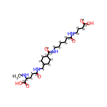 CNC(CCC(=O)NCC1CCC(C(=O)NCCCCCC(=O)NCCCC(=O)O)CC1)C(=O)O